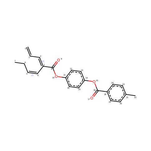 C=C/C=C(\C=C/CC)C(=O)Oc1ccc(OC(=O)c2ccc(C)cc2)cc1